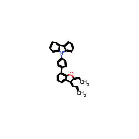 C=C/C=c1\c(=C/C)oc2c(-c3ccc(-n4c5ccccc5c5ccccc54)cc3)cccc12